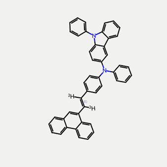 [2H]/C(=C(/[2H])c1cc2ccccc2c2ccccc12)c1ccc(N(c2ccccc2)c2ccc3c(c2)c2ccccc2n3-c2ccccc2)cc1